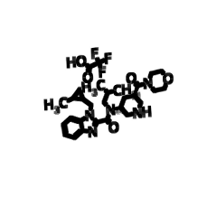 CC(C)CN(C(=O)c1nc2ccccc2n1CC1CC1C)[C@@H]1CNC[C@H](C(=O)N2CCOCC2)C1.O=C(O)C(F)(F)F